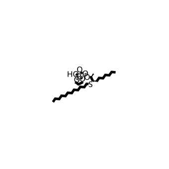 CCCCCCCCCCCCS[C@H](CCCCCCC)[C@H](C)OOC(=O)P(=O)(O)OCCC